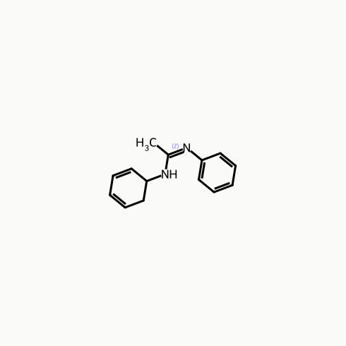 C/C(=N/c1ccccc1)NC1C=CC=CC1